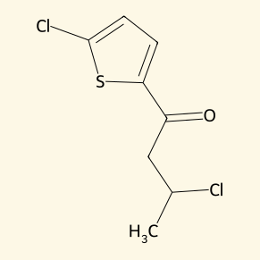 CC(Cl)CC(=O)c1ccc(Cl)s1